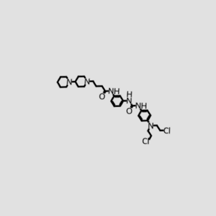 O=C(CCCN1CCC(N2CCCCC2)CC1)Nc1cccc(NC(=O)Nc2ccc(N(CCCl)CCCl)cc2)c1